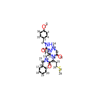 COc1ccc(CNC(=O)N2[C@H]3CN([C@@H](C)c4ccccc4)C(=O)[C@H](CCSC)N3C(=O)CN2C)cc1